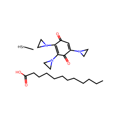 CCCCCCCCCCCC(=O)O.O=C1C=C(N2CC2)C(=O)C(N2CC2)=C1N1CC1.[CH3][SnH]